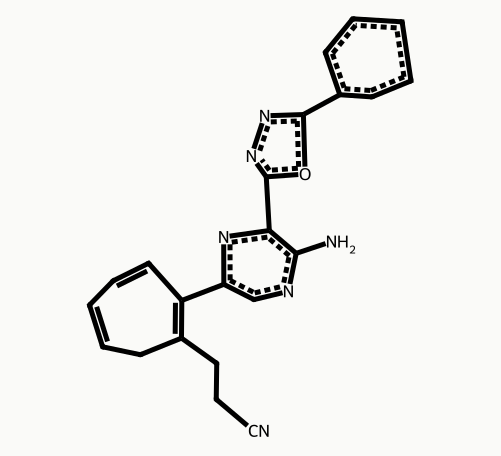 N#CCCC1=C(c2cnc(N)c(-c3nnc(-c4ccccc4)o3)n2)C=CC=CC1